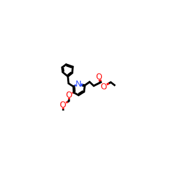 CCOC(=O)CCc1ccc(OCOC)c(Cc2ccccc2)n1